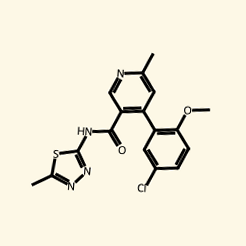 COc1ccc(Cl)cc1-c1cc(C)ncc1C(=O)Nc1nnc(C)s1